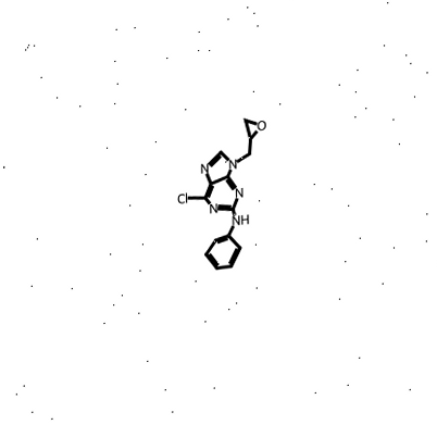 Clc1nc(Nc2ccccc2)nc2c1ncn2CC1CO1